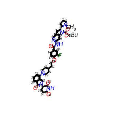 CN1CCC[C@@H]1c1cc2cnc(NC(=O)c3ccc(OCCC4CCN(c5cccc6c5CN(C5CCC(=O)NC5=O)C6=O)CC4)c(F)c3)cc2n1C(=O)OC(C)(C)C